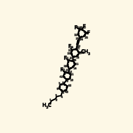 CCCCCc1ccc(-c2ccc(-c3ccc(-c4cc(C)c(C#Cc5cc(F)c(F)c(F)c5)c(F)c4)c(F)c3)c(F)c2)cc1